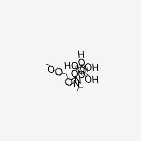 CCOc1ccc(Cc2cccc3c2c(O[C@@H]2O[C@H](CO)[C@@H](O)[C@H](O)[C@H]2O)nn3C(C)C)cc1